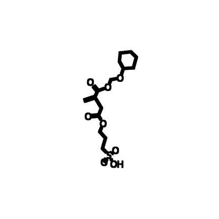 C=C(CC(=O)OCCCS(=O)(=O)O)C(=O)OCOC1CCCCC1